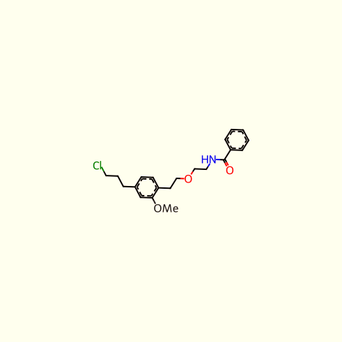 COc1cc(CCCCl)ccc1CCOCCNC(=O)c1ccccc1